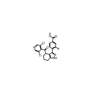 COC(=O)c1ccc(-c2n[nH]c3c2C(C(=O)c2c(Cl)cncc2Cl)CCC3)c(F)c1